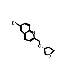 Brc1ccc2nc(CO[C@@H]3CCOC3)ccc2c1